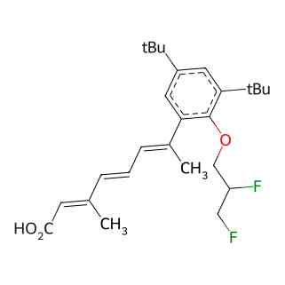 CC(/C=C/C=C(\C)c1cc(C(C)(C)C)cc(C(C)(C)C)c1OCC(F)CF)=C\C(=O)O